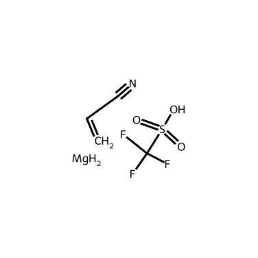 C=CC#N.O=S(=O)(O)C(F)(F)F.[MgH2]